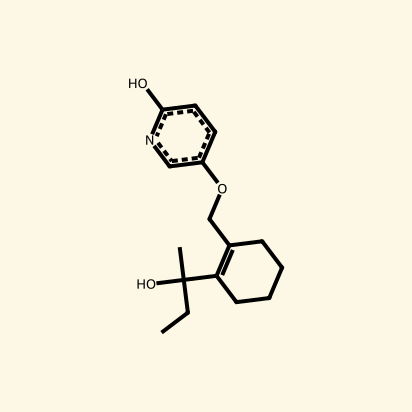 CCC(C)(O)C1=C(COc2ccc(O)nc2)CCCC1